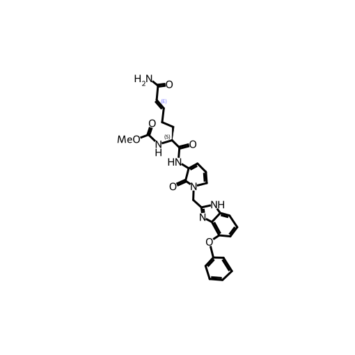 COC(=O)N[C@@H](CC/C=C/C(N)=O)C(=O)Nc1cccn(Cc2nc3c(Oc4ccccc4)cccc3[nH]2)c1=O